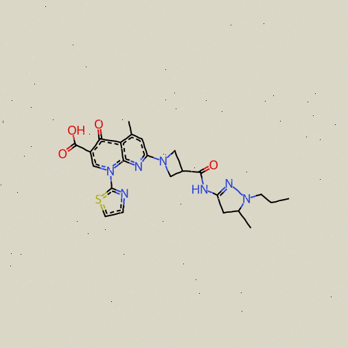 CCCN1N=C(NC(=O)C2CN(c3cc(C)c4c(=O)c(C(=O)O)cn(-c5nccs5)c4n3)C2)CC1C